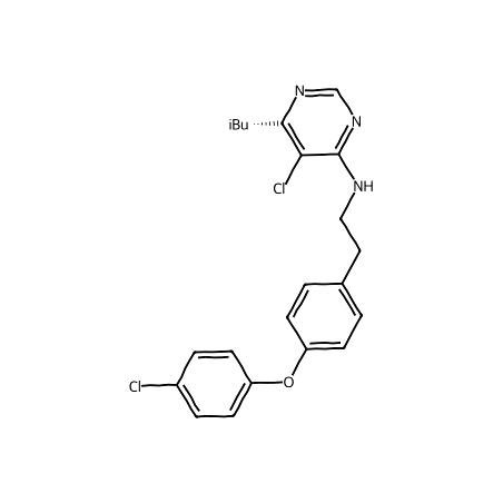 CC[C@@H](C)c1ncnc(NCCc2ccc(Oc3ccc(Cl)cc3)cc2)c1Cl